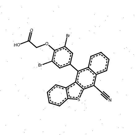 N#Cc1c2ccccc2c(-c2cc(Br)c(OCC(=O)O)c(Br)c2)c2c1sc1ccccc12